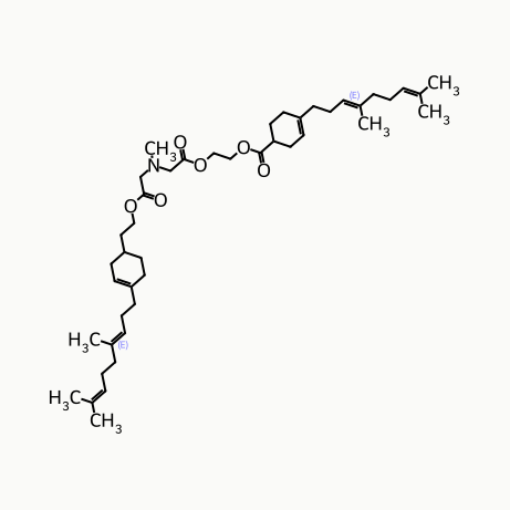 CC(C)=CCC/C(C)=C/CCC1=CCC(CCOC(=O)CN(C)CC(=O)OCCOC(=O)C2CC=C(CC/C=C(\C)CCC=C(C)C)CC2)CC1